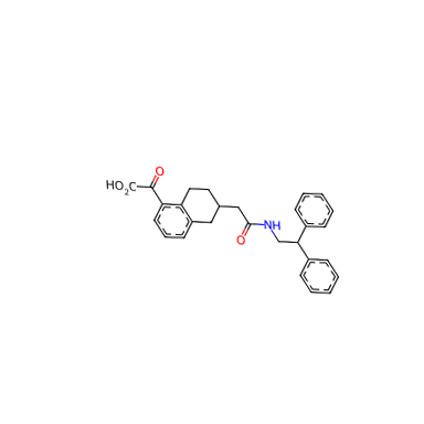 O=C(CC1CCc2c(cccc2C(=O)C(=O)O)C1)NCC(c1ccccc1)c1ccccc1